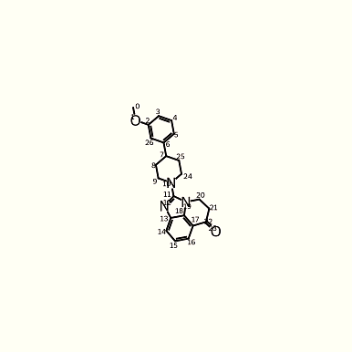 COc1cccc(C2CCN(c3nc4cccc5c4n3CCC5=O)CC2)c1